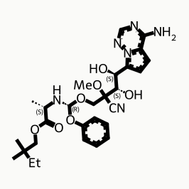 CCC(C)(C)COC(=O)[C@H](C)N[C@H](OCC(C#N)(OC)[C@@H](O)[C@@H](O)c1ccc2c(N)ncnn12)Oc1ccccc1